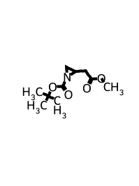 COC(=O)CC1CN1C(=O)OC(C)(C)C